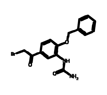 NC(=O)Nc1cc(C(=O)CBr)ccc1OCc1ccccc1